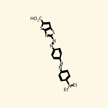 CCN(CC)c1ccc(N=Nc2ccc(N=Nc3nc4sc(C(=O)O)cc4s3)cc2)cc1